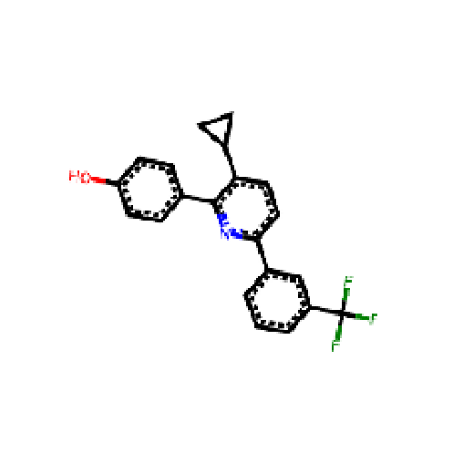 Oc1ccc(-c2nc(-c3cccc(C(F)(F)F)c3)ccc2C2CC2)cc1